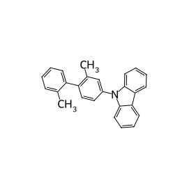 Cc1ccccc1-c1ccc(-n2c3ccccc3c3ccccc32)cc1C